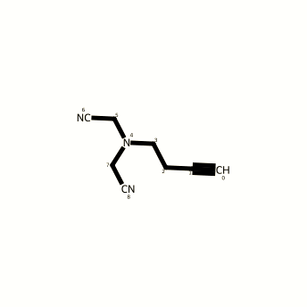 C#CCCN(CC#N)CC#N